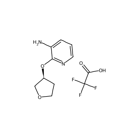 Nc1cccnc1O[C@H]1CCOC1.O=C(O)C(F)(F)F